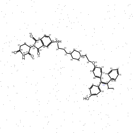 CC/C(=C(\c1ccc(O)cc1)c1ccc(OCCN2CCC(CCCNc3ccc4c(c3)C(=O)N(C3CCC(=O)NC3=O)C4=O)CC2)cc1)c1ccccc1